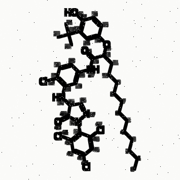 CCCCCCCCCCCCC(Oc1ccc(O)c(C(C)(C)C)c1)C(=O)Nc1ccc(Cl)c(NC2C=NN(c3c(Cl)cc(Cl)cc3Cl)C2=O)c1